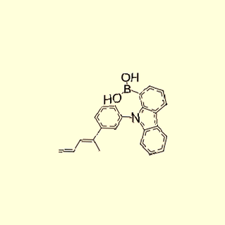 C=C/C=C(\C)c1cccc(-n2c3ccccc3c3cccc(B(O)O)c32)c1